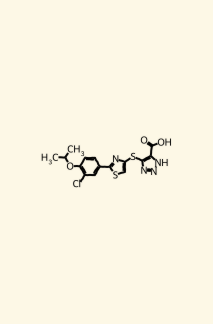 CC(C)Oc1ccc(-c2nc(Sc3nn[nH]c3C(=O)O)cs2)cc1Cl